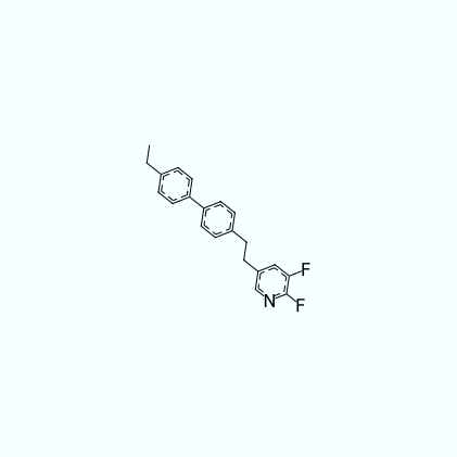 CCc1ccc(-c2ccc(CCc3cnc(F)c(F)c3)cc2)cc1